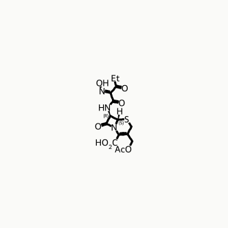 CCC(=O)C(=NO)C(=O)N[C@@H]1C(=O)N2C(C(=O)O)=C(COC(C)=O)CS[C@@H]12